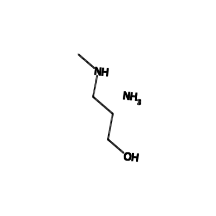 CNCCCO.N